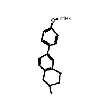 CCCCCCOc1ccc(-c2ccc3c(c2)CCC(C)C3)cc1